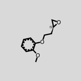 COc1ccccc1OCC[C@H]1CO1